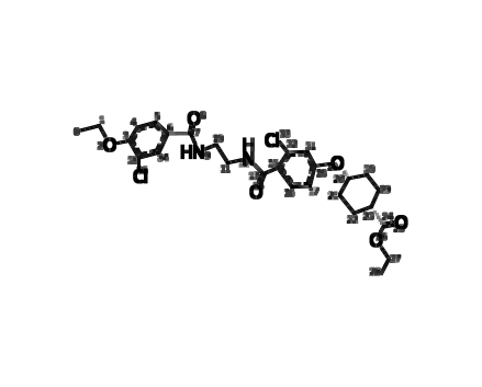 CCOc1ccc(C(=O)NCCNC(=O)c2ccc(O[C@H]3CC[C@@H](C(=O)OCC)CC3)cc2Cl)cc1Cl